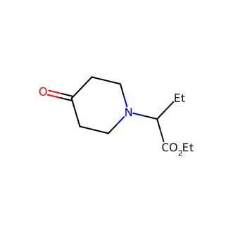 CCOC(=O)C(CC)N1CCC(=O)CC1